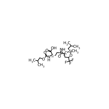 CC(C)COC(=O)N[C@@H](CCS(=N)(=O)CCC(O[Si](C)(C)CC(C)C)C(F)(F)F)C(=O)O